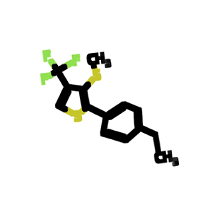 CCc1ccc(-c2scc(C(F)(F)F)c2SC)cc1